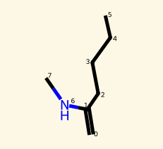 C=C(CCCC)NC